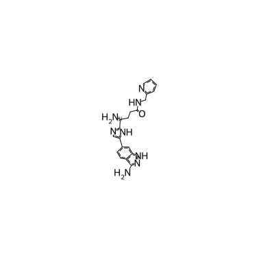 Nc1n[nH]c2cc(-c3cnc([C@@H](N)CCC(=O)NCc4ccccn4)[nH]3)ccc12